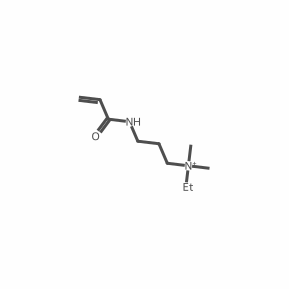 [CH2]C[N+](C)(C)CCCNC(=O)C=C